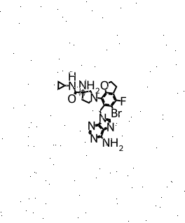 Nc1ncnc2c1ncn2Cc1c(Br)c(F)c2c(c1N1CC[C@](N)(C(=O)NC3CC3)C1)OCC2